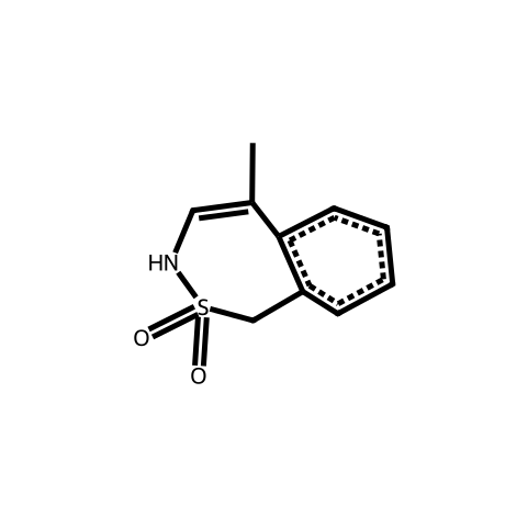 CC1=CNS(=O)(=O)Cc2ccccc21